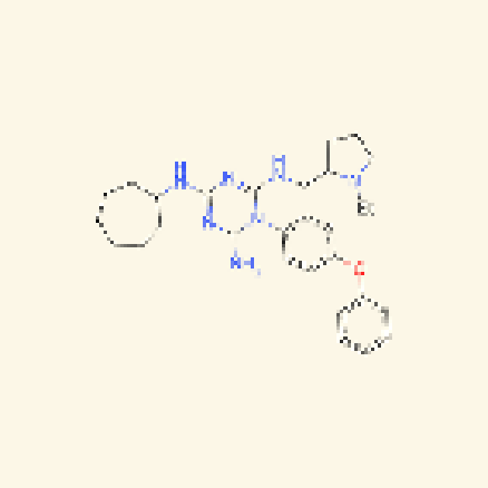 CCN1CCCC1CNC1=NC(NC2CCCCCC2)=NC(N)N1c1ccc(Oc2ccccc2)cc1